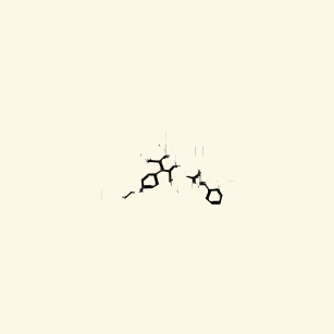 Cc1ccccc1-c1nc(CSc2nc(N)c(C#N)c(-c3ccc(OCCO)cc3)c2C#N)c(C)o1